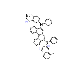 C/C=C\C(=C/C1=C(C)CCC=C1)N(c1ccccc1)c1cc2cc(N(c3ccccc3)c3ccc(C)c(/C=C\CC)c3)c3ccccc3c2c2ccccc12